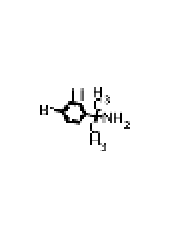 CC(C)(N)c1ccc(Br)cc1.I